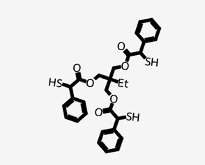 CCC(COC(=O)C(S)c1ccccc1)(COC(=O)C(S)c1ccccc1)COC(=O)C(S)c1ccccc1